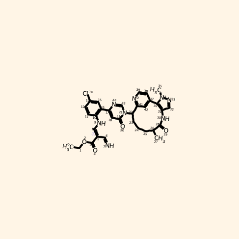 CCOC(=O)/C(C=N)=C/Nc1ccc(Cl)cc1-c1cc(=O)n(C2CCCC(C)C(=O)Nc3cnn(C)c3-c3ccnc2c3)cn1